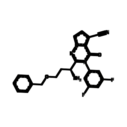 N#Cc1ccn2nc([C@@H](N)CCOCc3ccccc3)n(-c3cc(F)cc(F)c3)c(=O)c12